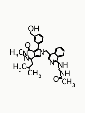 CC(=O)NCNc1ncc(Cn2cc3c(CC(C)C)nn(C)c(=O)c3c2-c2cccc(CO)c2)c2ccccc12